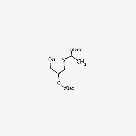 CCCCCCCCCCOC(CO)CSC(C)CCCCCCCCCC